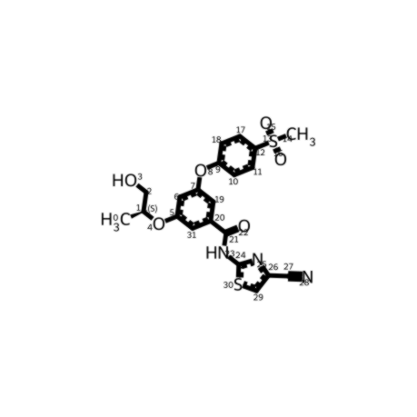 C[C@@H](CO)Oc1cc(Oc2ccc(S(C)(=O)=O)cc2)cc(C(=O)Nc2nc(C#N)cs2)c1